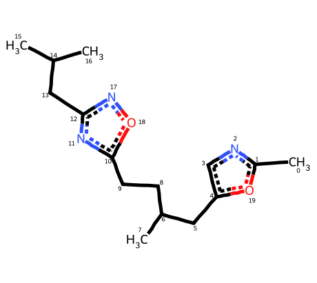 Cc1ncc(CC(C)CCc2nc(CC(C)C)no2)o1